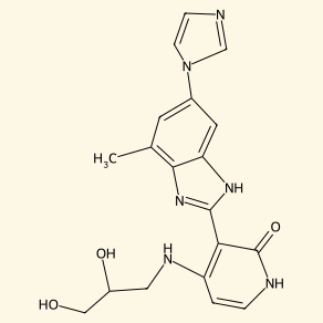 Cc1cc(-n2ccnc2)cc2[nH]c(-c3c(NCC(O)CO)cc[nH]c3=O)nc12